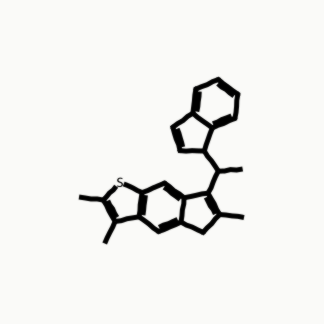 CC1=C(C(C)C2C=Cc3ccccc32)c2cc3sc(C)c(C)c3cc2C1